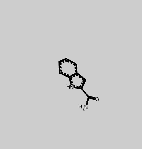 NC(=O)c1[c]c2ccccc2[nH]1